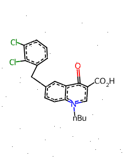 CCCCn1cc(C(=O)O)c(=O)c2cc(Cc3cccc(Cl)c3Cl)ccc21